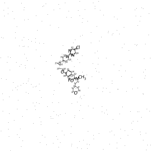 CN(CCC1CCOCC1)C(=O)Cc1ccc(OCC[C@@H]2C[C@@H]2C2CCN(c3ncc(Cl)cn3)CC2)cc1F